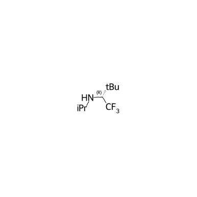 CC(C)N[C@H](C(C)(C)C)C(F)(F)F